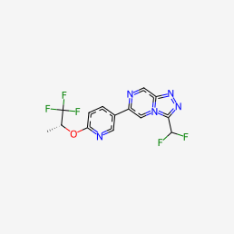 C[C@@H](Oc1ccc(-c2cn3c(C(F)F)nnc3cn2)cn1)C(F)(F)F